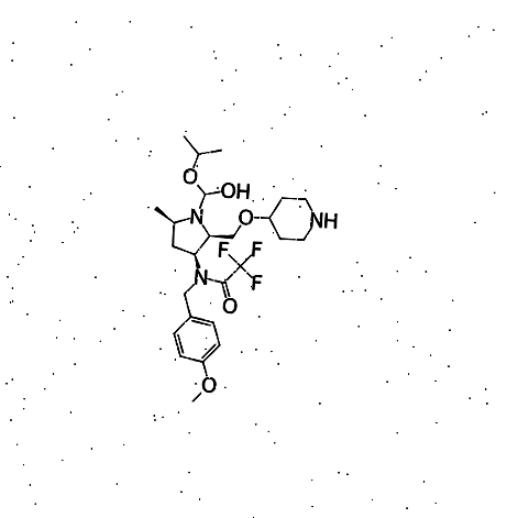 COc1ccc(CN(C(=O)C(F)(F)F)[C@H]2C[C@@H](C)N(C(O)OC(C)C)[C@H]2COC2CCNCC2)cc1